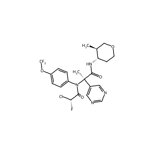 C[C@H]1COCC[C@@H]1NC(=O)[C@@](C)(c1cncnc1)N(C(=O)[C@H](F)Cl)c1ccc(OC(F)(F)F)cc1